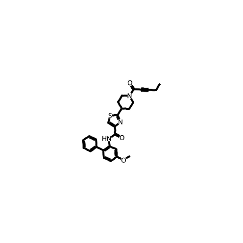 CCC#CC(=O)N1CCC(c2nc(C(=O)Nc3cc(OC)ccc3-c3ccccc3)cs2)CC1